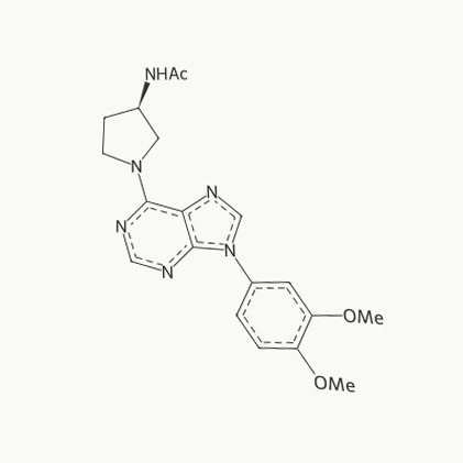 COc1ccc(-n2cnc3c(N4CC[C@@H](NC(C)=O)C4)ncnc32)cc1OC